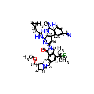 CNC(=N)c1ccc(C#N)cc1-c1cc(NCCC2CC2)nc(N2Cc3c(cc(CN4CC[C@@H](COC)C4)cc3C(C)(C)F)C2=O)c1